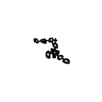 CC1(C)c2ccc(-c3ccc(-c4ccncc4)cn3)cc2-c2cc(-c3nc(-c4ccccc4)nc(-c4ccc(-c5ccccc5)cc4)n3)ccc21